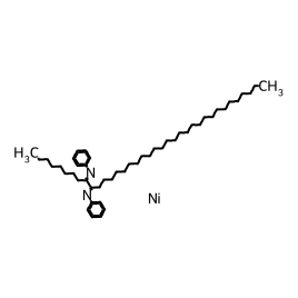 CCCCCCCCCCCCCCCCCCCCCCCCCCCC(=N\c1ccccc1)/C(CCCCCCCC)=N/c1ccccc1.[Ni]